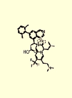 Cc1cccc(C)c1-c1cc(C(CC(=O)O)[N+]2(O)C=C3C=C(C(F)(F)F)C(CCN(C)C)=CN3C(CC(C)C)C2=O)c2ncncc2c1